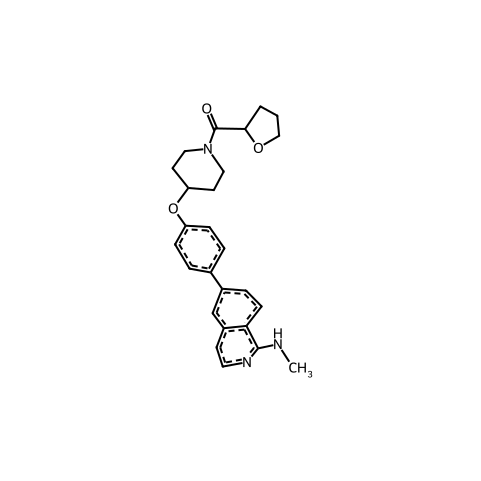 CNc1nccc2cc(-c3ccc(OC4CCN(C(=O)C5CCCO5)CC4)cc3)ccc12